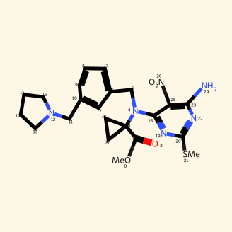 COC(=O)C1(N(Cc2cccc(CN3CCCC3)c2)c2nc(SC)nc(N)c2[N+](=O)[O-])CC1